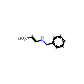 CCOC(=O)C=CNCc1ccccc1